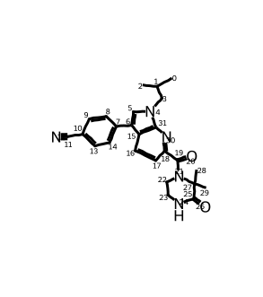 CC(C)Cn1cc(-c2ccc(C#N)cc2)c2ccc(C(=O)N3CCNC(=O)C3(C)C)nc21